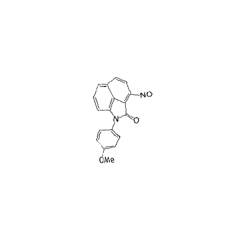 COc1ccc(N2C(=O)c3c(N=O)ccc4cccc2c34)cc1